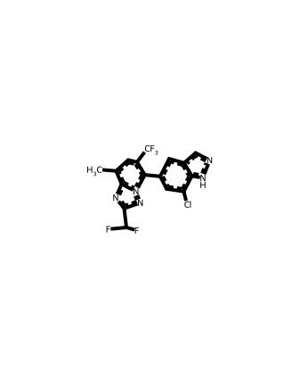 Cc1cc(C(F)(F)F)c(-c2cc(Cl)c3[nH]ncc3c2)n2nc(C(F)F)nc12